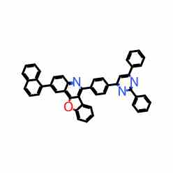 c1ccc(-c2cc(-c3ccc(-c4nc5ccc(-c6cccc7ccccc67)cc5c5oc6ccccc6c45)cc3)nc(-c3ccccc3)n2)cc1